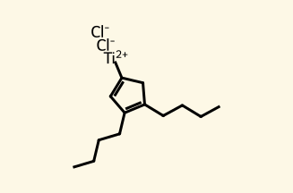 CCCCC1=C(CCCC)C[C]([Ti+2])=C1.[Cl-].[Cl-]